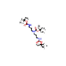 CC(C)(C)OC(=O)NCCCN(CCCNC(=O)OC(C)(C)C)C(=O)OC(C)(C)C